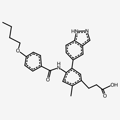 CCCCOc1ccc(C(=O)Nc2cc(C)c(CCC(=O)O)cc2-c2ccc3[nH]ncc3c2)cc1